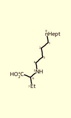 CCCCCCCCCCCNC(CC)C(=O)O